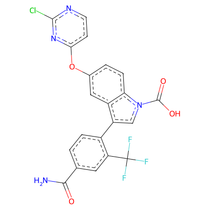 NC(=O)c1ccc(-c2cn(C(=O)O)c3ccc(Oc4ccnc(Cl)n4)cc23)c(C(F)(F)F)c1